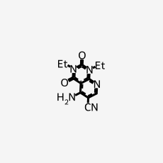 CCn1c(=O)c2c(N)c(C#N)cnc2n(CC)c1=O